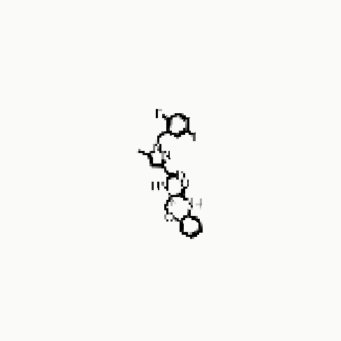 Cc1cc(C(=O)N[C@H]2COc3ccccc3NC2=O)nn1Cc1cc(F)ccc1F